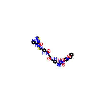 C[C@H](CC(=O)N1CCC(O)(Cn2cnc3c(-c4ccc(CNC(=O)CCCNC(=O)c5ccc(-c6csc(N7N=C(c8ccccc8)/C(=N\Nc8nccs8)C7=O)n6)cc5)cc4)n(C)nc3c2=O)CC1)c1ccccc1